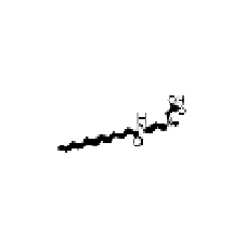 CC/C=C/CCCCCCCC(=O)NCCCN(C)CC(=O)O